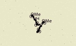 C=CC(=O)OCCCN(CCC(=O)OC)CCC(=O)OCCCNCCC(=O)OC